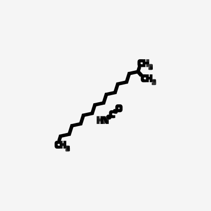 CCCCCCCCCCCCCCC(C)C.N=C=O